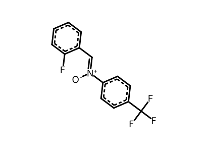 [O-][N+](=Cc1ccccc1F)c1ccc(C(F)(F)F)cc1